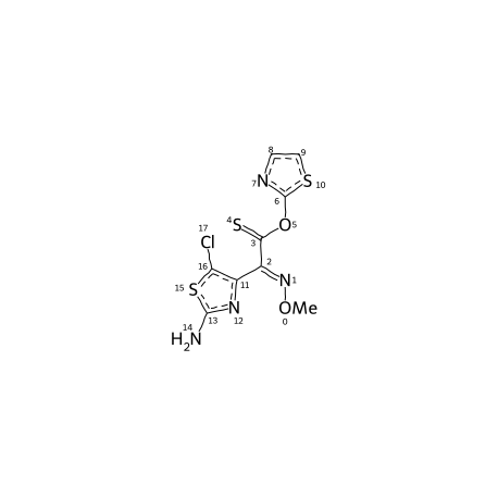 CON=C(C(=S)Oc1nccs1)c1nc(N)sc1Cl